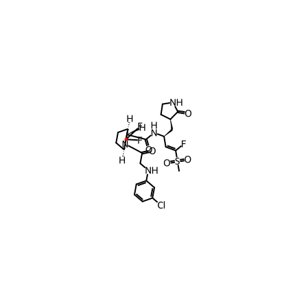 CS(=O)(=O)/C(F)=C/[C@H](C[C@H]1CCNC1=O)NC(=O)[C@H]1[C@@H]2CC[C@@H](CC2(F)F)N1C(=O)CNc1cccc(Cl)c1